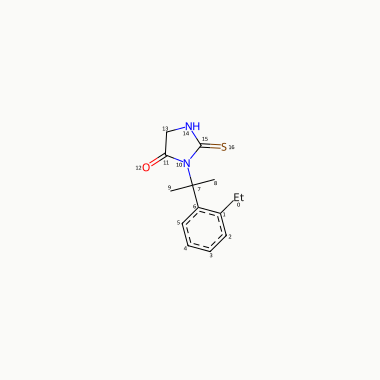 CCc1ccccc1C(C)(C)N1C(=O)CNC1=S